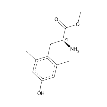 COC(=O)[C@@H](N)Cc1c(C)cc(O)cc1C